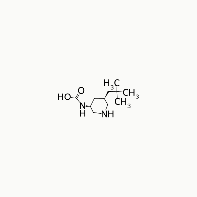 CC(C)(C)C[C@H]1CNC[C@@H](NC(=O)O)C1